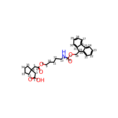 O=C(O)CC1(CC(=O)OCCCCCNC(=O)OCC2c3ccccc3-c3ccccc32)CCCC1